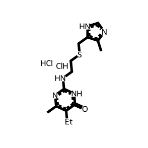 CCc1c(C)nc(NCCSCc2[nH]cnc2C)[nH]c1=O.Cl.Cl